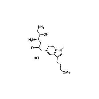 COCCCc1cn(C)c2ccc(CC(CC(N)C(O)CN)C(C)C)cc12.Cl